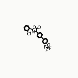 O=C1OC(c2ccccc2Cl)=NC1c1ccc(-c2ccc(OC(F)(F)F)cc2)cc1